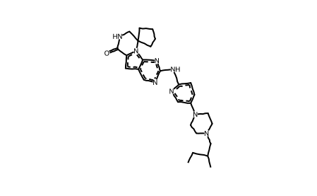 CCC(C)CN1CCN(c2ccc(Nc3ncc4cc5n(c4n3)C3(CCCC3)CNC5=O)nc2)CC1